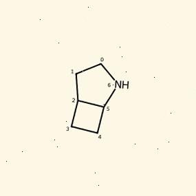 C1CC2CC[C]2N1